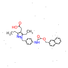 CCc1nn(Cc2ccc(NC3OC3OCc3ccc4ccccc4c3)cc2)c(CC)c1CC(=O)O